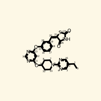 CCc1cnc(N2CCC(Oc3cc(Oc4cccc(C=C5SC(=O)NC5=O)c4)ncn3)CC2)nc1